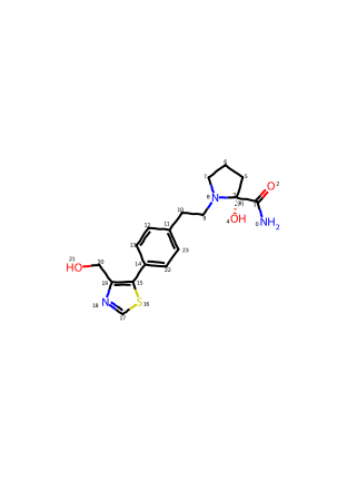 NC(=O)[C@]1(O)CCCN1CCc1ccc(-c2scnc2CO)cc1